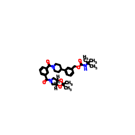 CC(C)(C)NC(=O)OCc1cccc(C2CCN(C(=O)c3cccc(C(=O)N4C[C@@H]5OC(C)(C)O[C@@H]5C4)c3)CC2)c1